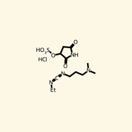 CCN=C=NCCCN(C)C.Cl.O=C1CC(OS(=O)(=O)O)C(=O)N1